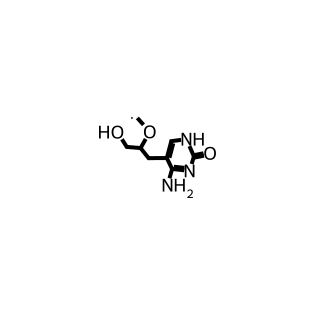 [CH2]OC(CO)Cc1c[nH]c(=O)nc1N